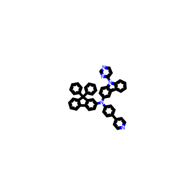 c1ccc(C2(c3ccccc3)c3ccccc3-c3ccc(N(c4ccc(-c5ccncc5)cc4)c4ccc5c(c4)c4ccccc4n5-c4ccncn4)cc32)cc1